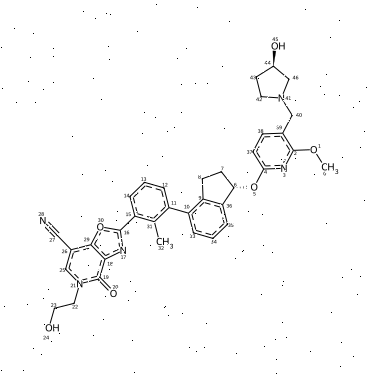 COc1nc(O[C@H]2CCc3c(-c4cccc(-c5nc6c(=O)n(CCO)cc(C#N)c6o5)c4C)cccc32)ccc1CN1CC[C@@H](O)C1